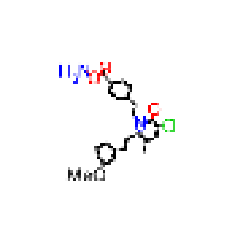 COc1cccc(/C=C/c2c(C)cc(Cl)c(=O)n2CCc2ccc(C(=O)ON)cc2)c1